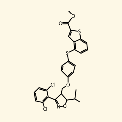 COC(=O)c1cc2c(Sc3ccc(OCC4C(c5c(Cl)cccc5Cl)=NOC4C(C)C)cc3)cccc2s1